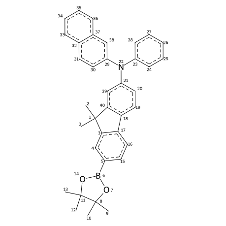 CC1(C)c2cc(B3OC(C)(C)C(C)(C)O3)ccc2-c2ccc(N(c3ccccc3)c3ccc4ccccc4c3)cc21